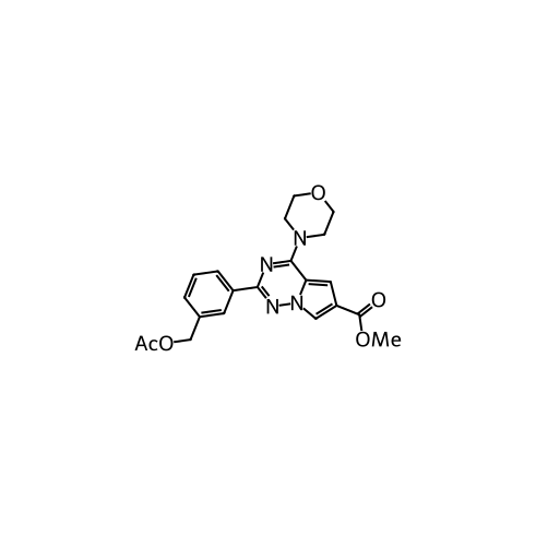 COC(=O)c1cc2c(N3CCOCC3)nc(-c3cccc(COC(C)=O)c3)nn2c1